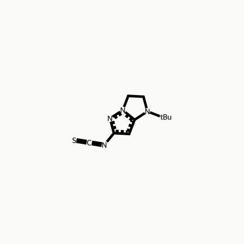 CC(C)(C)N1CCn2nc(N=C=S)cc21